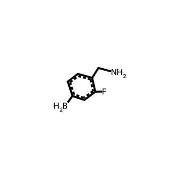 Bc1ccc(CN)c(F)c1